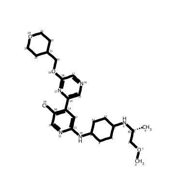 COC[C@@H](C)NC1CCC(Nc2cc(-c3cncc(OCC4CCOCC4)n3)c(Cl)cn2)CC1